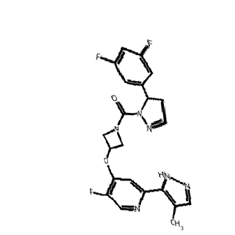 Cc1cn[nH]c1-c1cc(OC2CN(C(=O)N3N=CCC3c3cc(F)cc(F)c3)C2)c(F)cn1